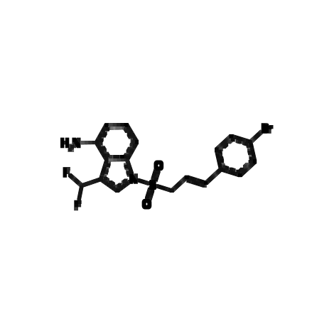 Nc1cccc2c1c(C(F)F)cn2S(=O)(=O)CC=Cc1ccc(Br)cc1